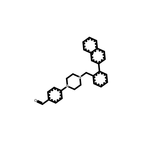 O=Cc1ccc(N2CCN(Cc3ccccc3-c3ccc4ccccc4c3)CC2)cc1